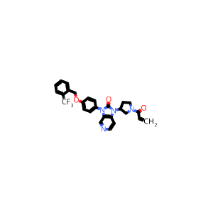 C=CC(=O)N1CCC(n2c(=O)n(-c3ccc(OCc4ccccc4C(F)(F)F)cc3)c3cnccc32)C1